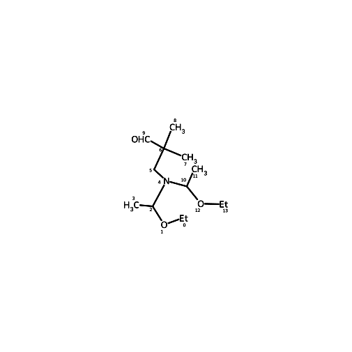 CCOC(C)N(CC(C)(C)C=O)C(C)OCC